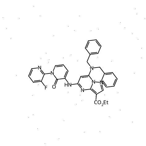 CCOC(=O)c1cnn2c(N(Cc3ccccc3)Cc3ccccc3)cc(Nc3cccn(-c4ncccc4F)c3=O)nc12